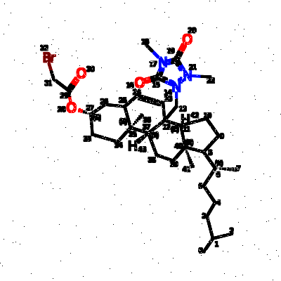 CC(C)CCC[C@@H](C)C1CC[C@H]2C3(Cn4c(=O)n(C)c(=O)n4C)C=CC4C[C@@H](OC(=O)CBr)CC[C@]4(C)[C@H]3CC[C@]12C